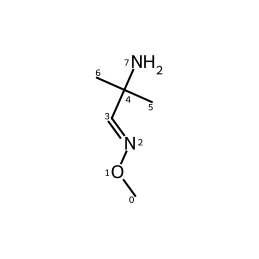 CON=CC(C)(C)N